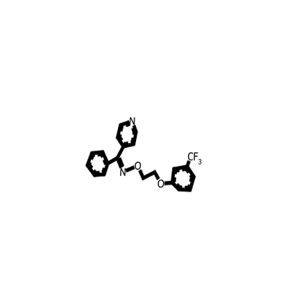 FC(F)(F)c1cccc(OCCON=C(c2ccccc2)c2ccncc2)c1